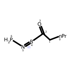 CCCCC(=O)/B=N\P